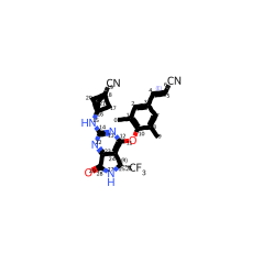 Cc1cc(/C=C/C#N)cc(C)c1Oc1nc(NC23CC(C#N)(C2)C3)nc2c1[C@H](C(F)(F)F)NC2=O